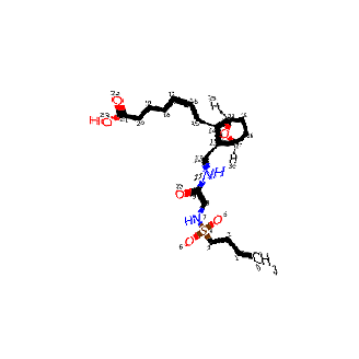 CCCCS(=O)(=O)NCC(=O)NC[C@H]1[C@@H](C/C=C\CCCC(=O)O)[C@H]2CC[C@@H]1O2